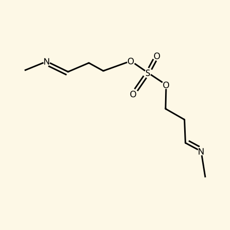 C/N=C/CCOS(=O)(=O)OCC/C=N/C